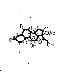 CC(=O)O[C@]1(C(=O)CO)[C@H](C)C[C@H]2[C@@H]3C[C@H](F)C4=CC(=O)C=C[C@]4(C)[C@@]3(F)[C@@H](O)C[C@@]21C